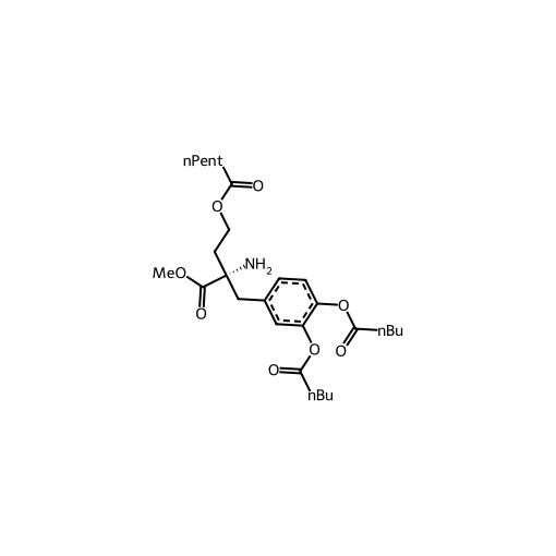 CCCCCC(=O)OCC[C@@](N)(Cc1ccc(OC(=O)CCCC)c(OC(=O)CCCC)c1)C(=O)OC